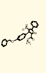 COC(=O)c1[nH]c(-c2ccccc2)c([N+](=O)[O-])c1-c1ccc(OCc2ccccc2)cc1